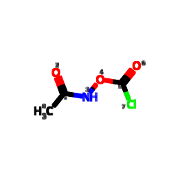 CC(=O)NOC(=O)Cl